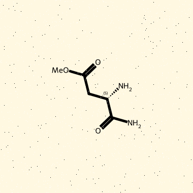 COC(=O)C[C@H](N)C(N)=O